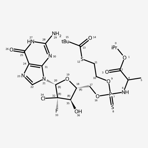 CC(C)OC(=O)C(C)NP(=S)(OCCSC(=O)C(C)(C)C)OC[C@H]1O[C@@H](n2cnc3c(=O)[nH]c(N)nc32)[C@](F)(Cl)[C@@H]1O